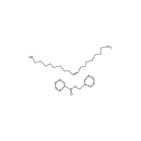 CCCCCCCC/C=C\CCCCCCCCO.O=C(OCc1ccccc1)c1ccccc1